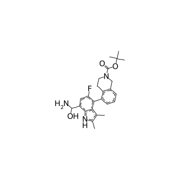 Cc1[nH]c2c(C(N)O)cc(F)c(-c3cccc4c3CCN(C(=O)OC(C)(C)C)C4)c2c1C